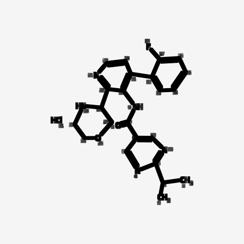 CC(C)c1ncc(C(=O)Nc2c(-c3ccccc3F)ccnc2C2COCCN2)cn1.Cl